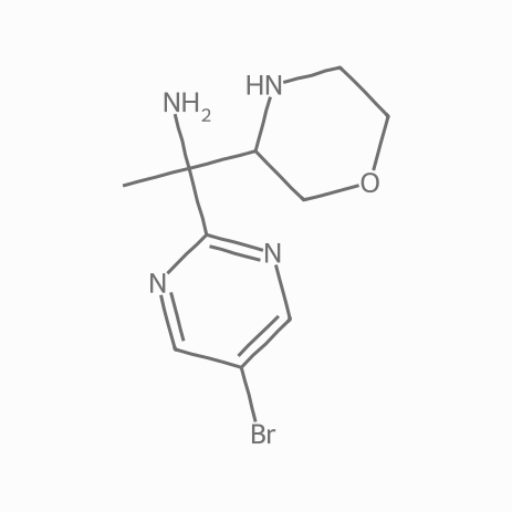 CC(N)(c1ncc(Br)cn1)C1COCCN1